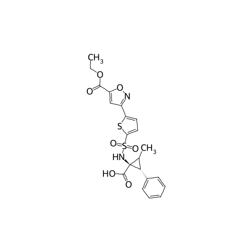 CCOC(=O)c1cc(-c2ccc(S(=O)(=O)N[C@@]3(C(=O)O)C(C)[C@@H]3c3ccccc3)s2)no1